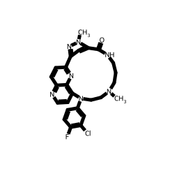 CN1CCCNC(=O)c2cc(nn2C)-c2ccc3nccc(c3n2)N(c2ccc(F)c(Cl)c2)CC1